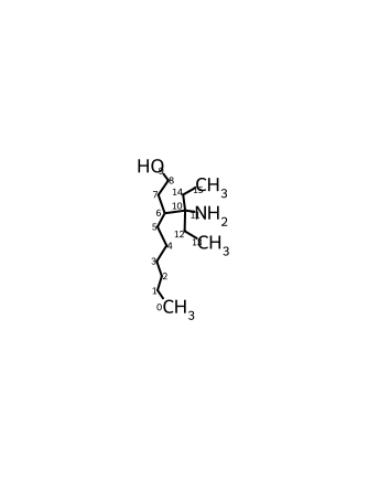 CCCCCCC(CCO)C(N)(CC)CC